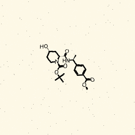 COC(=O)c1ccc([C@H](C)NC(=O)[C@H]2C[C@@H](O)CCN2C(=O)OC(C)(C)C)cc1